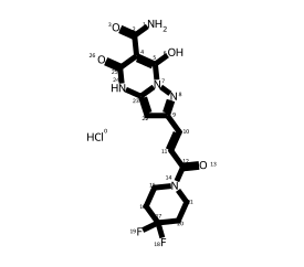 Cl.NC(=O)c1c(O)n2nc(C=CC(=O)N3CCC(F)(F)CC3)cc2[nH]c1=O